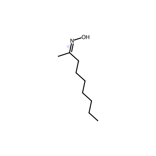 CCCCCCC/C(C)=N\O